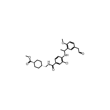 COc1ccc(CC=O)cc1C(C)Nc1ccc(C(=O)NC[C@H]2CC[C@H](C(=O)OC)CC2)cc1Cl